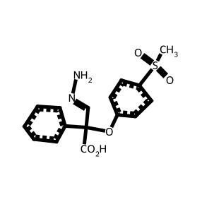 CS(=O)(=O)c1ccc(OC(C=NN)(C(=O)O)c2ccccc2)cc1